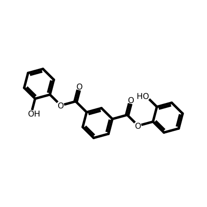 O=C(Oc1ccccc1O)c1cccc(C(=O)Oc2ccccc2O)c1